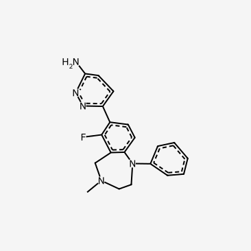 CN1CCN(c2ccccc2)c2ccc(-c3ccc(N)nn3)c(F)c2C1